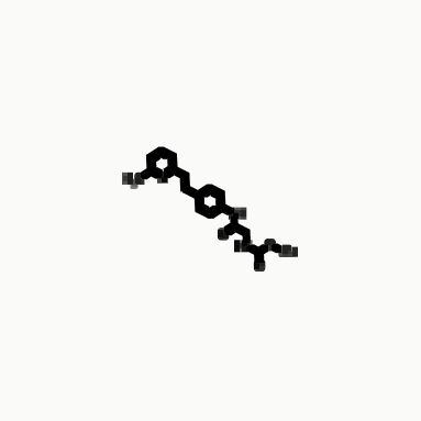 Cc1cccc(C=Cc2ccc(NC(=O)CNC(=O)OC(C)(C)C)cc2)n1